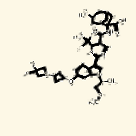 COC[C@@H](C)n1cc(-c2ncc(C(=O)NC3(C(=O)O)CC4CC(C)CC3C4)c(C(C)(F)F)n2)c2ccc(O[C@H]3C[C@@H](N4CC(F)(F)C4)C3)cc21